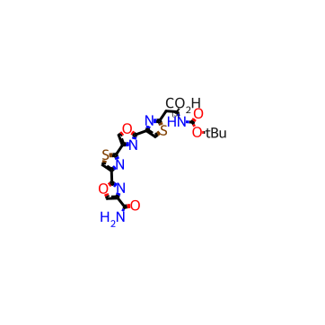 CC(C)(C)OC(=O)N[C@@H](Cc1nc(-c2nc(-c3nc(-c4nc(C(N)=O)co4)cs3)co2)cs1)C(=O)O